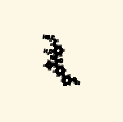 CCOc1cncc(-c2ccc(C(C(=O)Nc3cccc(CCC(=O)O)c3C)C3CCC3)cc2)c1